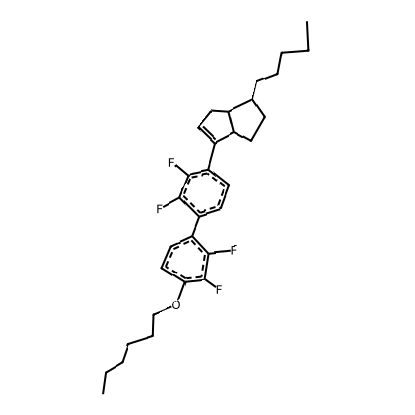 CCCCCCOc1ccc(-c2ccc(C3=CCC4C(CCCCC)CCC34)c(F)c2F)c(F)c1F